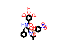 COc1cc(C(=O)N[C@@H](Cc2ccccc2)[C@H](O)CN(CC(C)C)S(=O)(=O)c2ccc([N+](=O)[O-])cc2)cc(OC)c1O